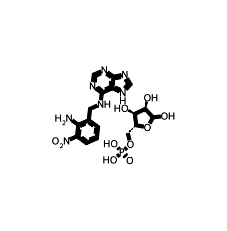 Nc1c(CNc2ncnc3nc[nH]c23)cccc1[N+](=O)[O-].O=P(O)(O)OC[C@H]1OC(O)[C@H](O)[C@@H]1O